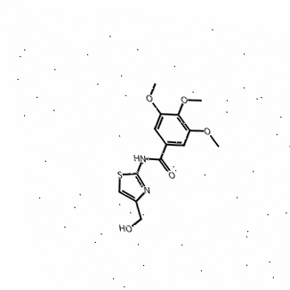 COc1cc(C(=O)Nc2nc(CO)cs2)cc(OC)c1OC